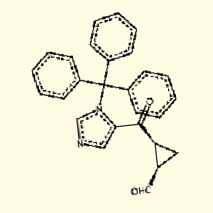 O=C[C@@H]1C[C@@H]1C(=O)c1cncn1C(c1ccccc1)(c1ccccc1)c1ccccc1